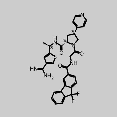 C[C@@H](NC(=O)[C@@H]1C[C@@H](c2ccncc2)CN1C(=O)CNC(=O)c1ccc2c(c1)-c1ccccc1C2(F)F)c1cc(C(=N)N)cs1